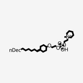 CCCCCCCCCCCCCCCC=C1CCC(OCCOP(=O)(O)OCC[N+]2(C)CCCCC2)CC1